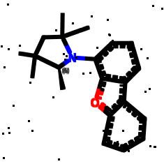 C[C@@H]1N(c2cccc3c2oc2ccccc23)C(C)(C)CC1(C)C